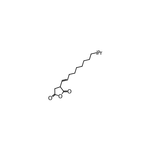 CC(C)CCCCCCCC=CC1CC(=O)OC1=O